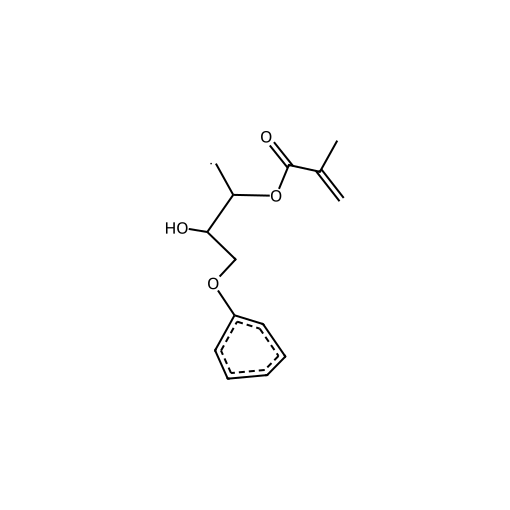 [CH2]C(OC(=O)C(=C)C)C(O)COc1ccccc1